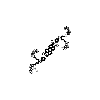 C[Si](C)(C)O[SiH2]O[Si](C)(C)CCCCC(CCCC[Si](C)(C)O[Si](C)(C)O[Si](C)(C)C)Oc1ccc(N2C(=O)c3ccc4c5ccc6c7c(ccc(c8ccc(c3c48)C2=O)c75)C(=O)N(c2ccc(OC(CCCC[Si](C)(C)O[Si](C)(C)O[Si](C)(C)C)CCCC[Si](C)(C)O[Si](C)(C)O[Si](C)(C)C)cc2)C6=O)cc1